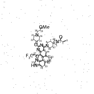 C=CC(=O)N1CC2(CCN(c3nc(OC4CCN(CCOC)CC4)nc4c(OCC(F)(F)F)c(-c5c(F)ccc6[nH]cnc56)c(C5CC5)cc34)CC2)C1